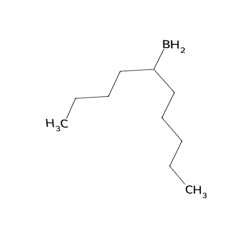 BC(CCCC)CCCCC